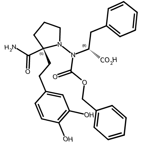 NC(=O)[C@]1(CCc2ccc(O)c(O)c2)CCCN1N(C(=O)OCc1ccccc1)[C@H](Cc1ccccc1)C(=O)O